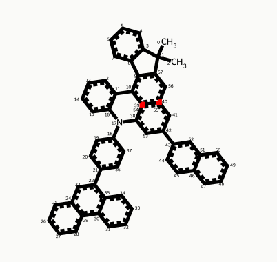 CC1(C)c2ccccc2-c2c(-c3ccccc3N(c3ccc(-c4cc5ccccc5c5ccccc45)cc3)c3cccc(-c4ccc5ccccc5c4)c3)cccc21